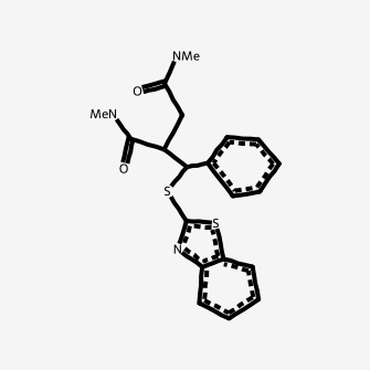 CNC(=O)CC(C(=O)NC)C(Sc1nc2ccccc2s1)c1ccccc1